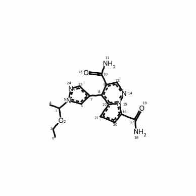 CCOC(C)n1cc(-c2c(C(N)=O)cnn3c(C(N)=O)ccc23)cn1